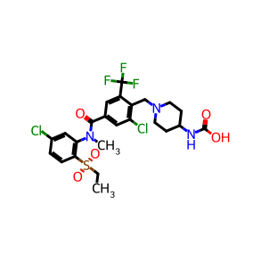 CCS(=O)(=O)c1ccc(Cl)cc1N(C)C(=O)c1cc(Cl)c(CN2CCC(NC(=O)O)CC2)c(C(F)(F)F)c1